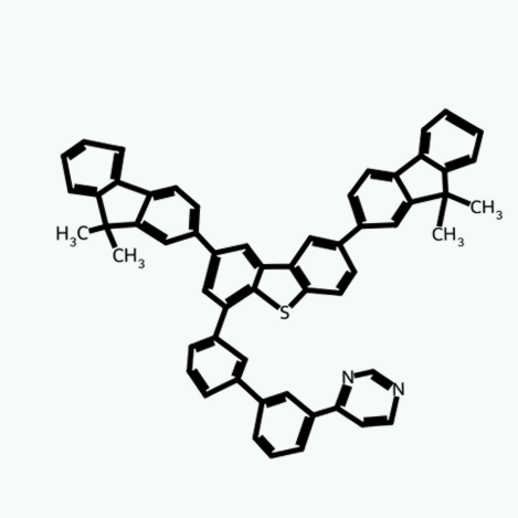 CC1(C)c2ccccc2-c2ccc(-c3ccc4sc5c(-c6cccc(-c7cccc(-c8ccncn8)c7)c6)cc(-c6ccc7c(c6)C(C)(C)c6ccccc6-7)cc5c4c3)cc21